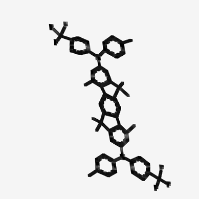 Cc1ccc(N(c2ccc(C(F)(F)F)cc2)c2cc(C)c3c(c2)C(C)(C)c2cc4c(cc2-3)C(C)(C)c2cc(N(c3ccc(C)cc3)c3ccc(C(F)(F)F)cc3)cc(C)c2-4)cc1